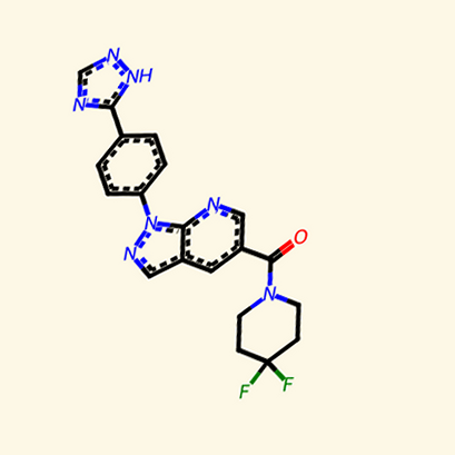 O=C(c1cnc2c(cnn2-c2ccc(-c3ncn[nH]3)cc2)c1)N1CCC(F)(F)CC1